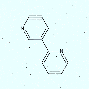 c1cc(-c2ccccn2)cnc#1